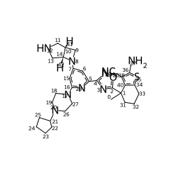 CC1(c2nc(-c3cc(N4C[C@H]5CNC[C@H]54)cc(N4CCN(C5CCCC5)CC4)n3)no2)CCCc2sc(N)c(C#N)c21